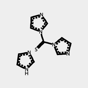 S=C(n1ccnc1)n1ccnc1.c1c[nH]cn1